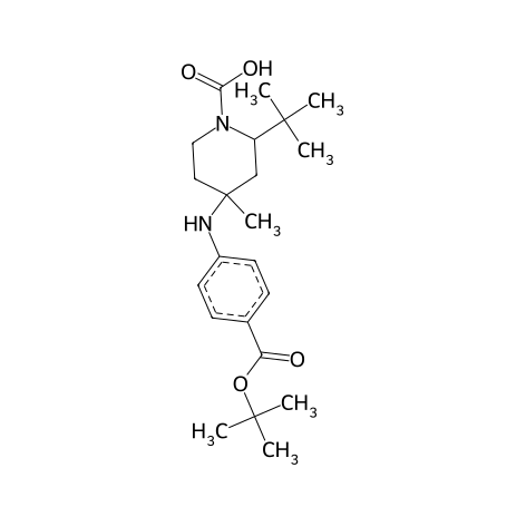 CC1(Nc2ccc(C(=O)OC(C)(C)C)cc2)CCN(C(=O)O)C(C(C)(C)C)C1